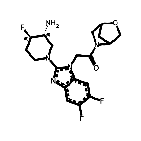 N[C@@H]1CN(c2nc3cc(F)c(F)cc3n2CC(=O)N2CC3CC2CO3)CC[C@H]1F